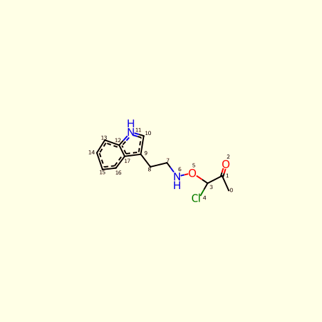 CC(=O)C(Cl)ONCCc1c[nH]c2ccccc12